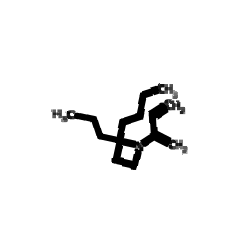 C=CC(=C)N1CCC1(CCC)CCCC